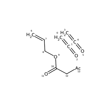 C=C=O.C=C=O.C=CCOC(=O)CC(C)=O